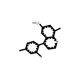 Cc1ccc(-c2ccnc3c(C)cc(C(=O)O)cc23)c(F)c1